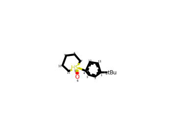 CC(C)(C)c1ccc([SH]2(=O)CCCCC2)cc1